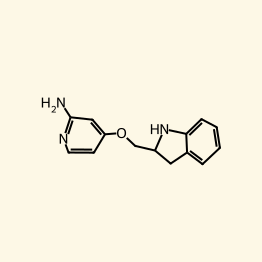 Nc1cc(OCC2Cc3ccccc3N2)ccn1